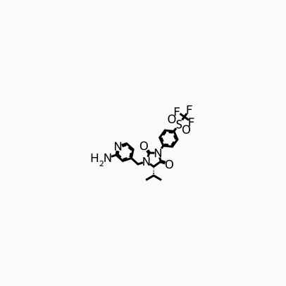 CC(C)[C@H]1C(=O)N(c2ccc(S(=O)(=O)C(F)(F)F)cc2)C(=O)N1Cc1ccnc(N)c1